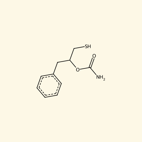 NC(=O)OC(CS)Cc1ccccc1